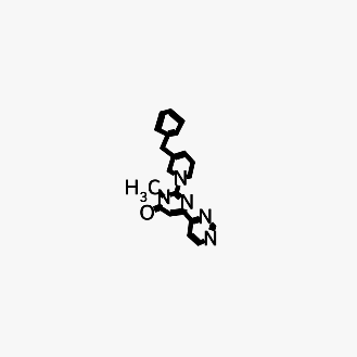 Cn1c(N2CCC=C(Cc3ccccc3)C2)nc(-c2ccncn2)cc1=O